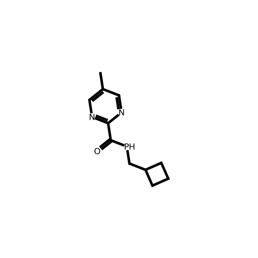 Cc1cnc(C(=O)PCC2CCC2)nc1